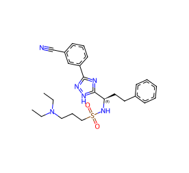 CCN(CC)CCCS(=O)(=O)N[C@H](CCc1ccccc1)c1nc(-c2cccc(C#N)c2)n[nH]1